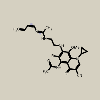 C=C/C=C\N=C(/C)NCCNc1c(F)c(NC(=O)C(F)(F)F)c2c(=O)c(C#N)cn(C3CC3)c2c1OC